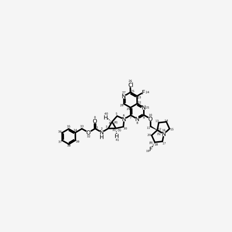 O=C(NC1[C@H]2CN(c3nc(OC[C@@]45CCCN4C[C@H](F)C5)nc4c(F)c(Cl)ncc34)C[C@@H]12)OCc1ccccc1